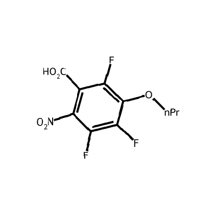 CCCOc1c(F)c(F)c([N+](=O)[O-])c(C(=O)O)c1F